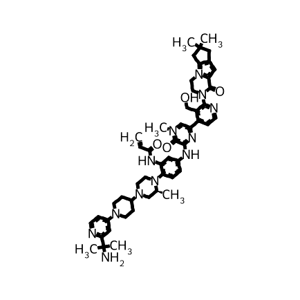 C=CC(=O)Nc1cc(Nc2nc(-c3ccnc(N4CCn5c(cc6c5CC(C)(C)C6)C4=O)c3CO)cn(C)c2=O)ccc1N1CCN(C2CCN(c3ccnc(C(C)(C)N)c3)CC2)C[C@@H]1C